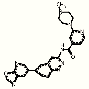 CN1CCN(c2cc(C(=O)Nc3cc4cc(-c5cnc6ocnc6c5)ccc4nn3)ccn2)CC1